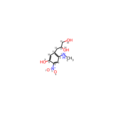 CNc1cc([N+](=O)[O-])c(O)cc1CC(O)CO